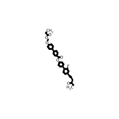 C=CC(=O)CC#Cc1ccc(-c2ccc(OC(=O)c3ccc(-c4ccc(OCOC(=O)C=C)cc4)cc3)cc2)c(F)c1